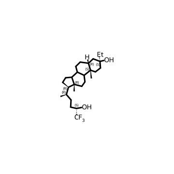 CC[C@]1(O)CC[C@]2(C)C3CC[C@@]4(C)C(CC[C@@H]4[C@H](C)CC[C@H](O)C(F)(F)F)C3CC[C@@H]2C1